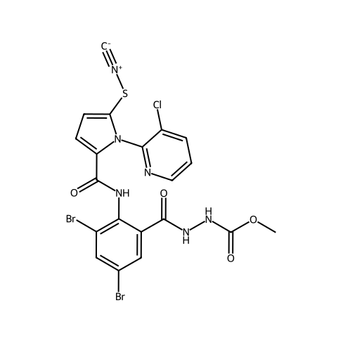 [C-]#[N+]Sc1ccc(C(=O)Nc2c(Br)cc(Br)cc2C(=O)NNC(=O)OC)n1-c1ncccc1Cl